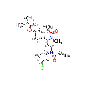 CN(C)C(=O)Oc1ccc(C(CCN(C(=O)OC(C)(C)C)c2cccc(Cl)c2)N(C)C(=O)OC(C)(C)C)cc1